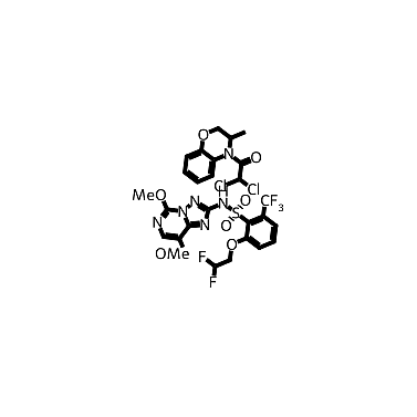 CC1COc2ccccc2N1C(=O)C(Cl)Cl.COc1cnc(OC)n2nc(NS(=O)(=O)c3c(OCC(F)F)cccc3C(F)(F)F)nc12